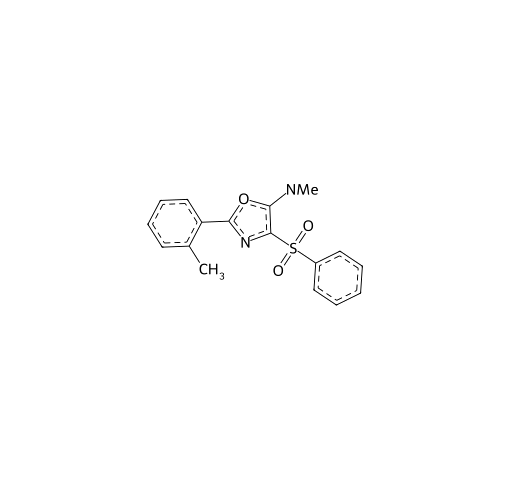 CNc1oc(-c2ccccc2C)nc1S(=O)(=O)c1ccccc1